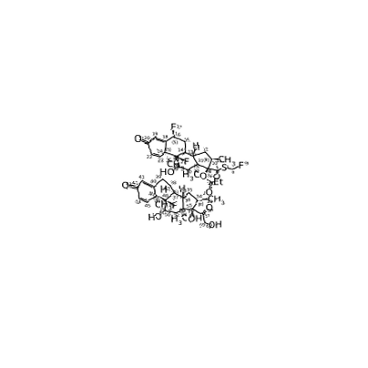 CCC(=O)O[C@]1(C(=O)SCF)[C@H](C)C[C@H]2C3C[C@H](F)C4=CC(=O)C=C[C@]4(C)[C@@]3(F)[C@@H](O)C[C@@]21C.C[C@@H]1C[C@H]2[C@@H]3CCC4=CC(=O)C=C[C@]4(C)[C@@]3(F)[C@@H](O)C[C@]2(C)[C@@]1(O)C(=O)CO